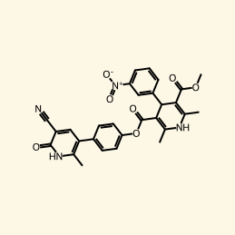 COC(=O)C1=C(C)NC(C)=C(C(=O)Oc2ccc(-c3cc(C#N)c(=O)[nH]c3C)cc2)C1c1cccc([N+](=O)[O-])c1